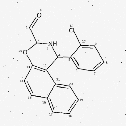 O=CC1NC(c2ccccc2Cl)c2c(ccc3ccccc23)O1